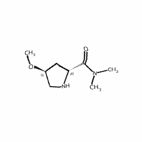 CO[C@@H]1CN[C@@H](C(=O)N(C)C)C1